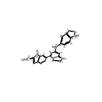 O=Cc1cc2ccc(-c3nc(Nc4ccc5[nH]ncc5c4)cc4nccn34)cc2[nH]1